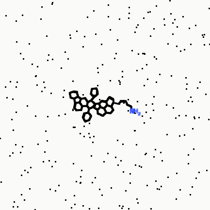 NCC/C=C\C[C@@H]1C=CC2=CC3C4=C(C5CCC6CCC1C2C6C35)C(C1C=CCCC1)C1C(CC2C3C=CCCC3C3=CCCC1C32)C4C1C=CCCC1